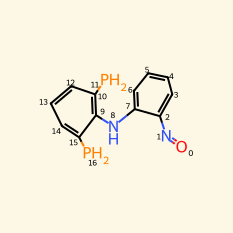 O=Nc1ccccc1Nc1c(P)cccc1P